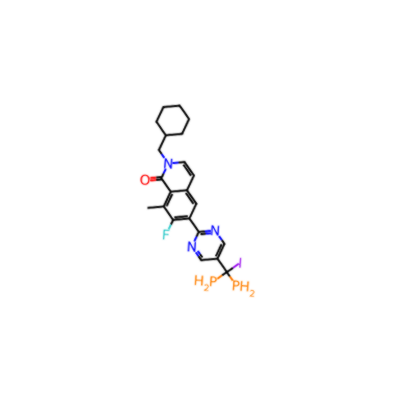 Cc1c(F)c(-c2ncc(C(P)(P)I)cn2)cc2ccn(CC3CCCCC3)c(=O)c12